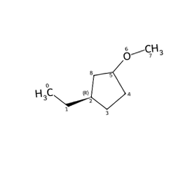 CC[C@@H]1CCC(OC)C1